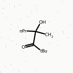 CCCC(C)(O)C(=O)C(C)(C)C